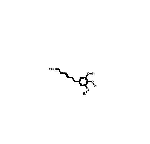 CCOc1cc(CCC=CCC[C]=O)cc(OCC)c1OCC